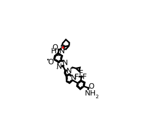 COc1cc(C(=O)N2CC3CCC2C3N)cc2nc(-c3cc4ccc(-c5ccc(C(N)=O)cc5C(F)(F)F)nc4n3CC3CC3)n(C)c12